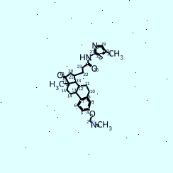 C/N=C\Oc1ccc2c(c1)CCC1C2CCC2(C)C(=O)CC(CCC(=O)Nc3ncc(C)s3)C12